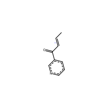 C/C=C/C(=O)c1cccnc1